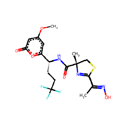 COc1cc([C@@H](CCC(F)(F)F)NC(=O)[C@]2(C)CSC(/C(C)=N/O)=N2)oc(=O)c1